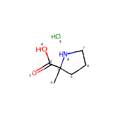 CC1(C(=O)O)CCCN1.Cl